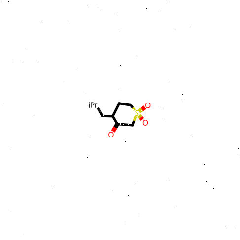 CC(C)CC1CCS(=O)(=O)CC1=O